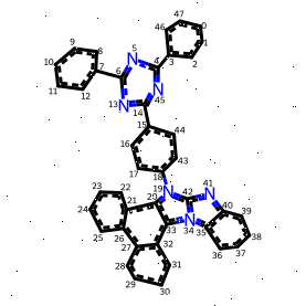 c1ccc(-c2nc(-c3ccccc3)nc(-c3ccc(-n4c5c6ccccc6c6ccccc6c5n5c6ccccc6nc45)cc3)n2)cc1